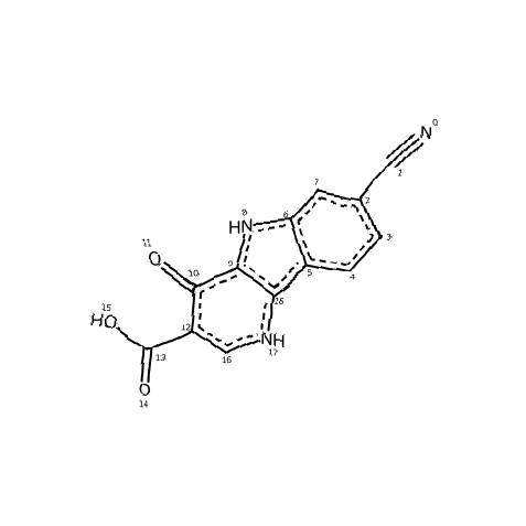 N#Cc1ccc2c(c1)[nH]c1c(=O)c(C(=O)O)c[nH]c12